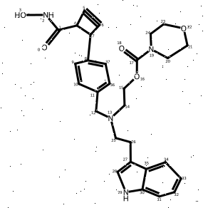 O=C(NO)C1C#CC1c1ccc(CN(CCOC(=O)N2CCOCC2)CCc2c[nH]c3ccccc23)cc1